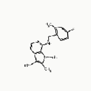 CCCc1c(C)n(CCC)c2c(NCc3ccc(F)cc3C)nccc12